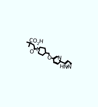 CC(C)(CC(=O)N1CCC(COc2ccc(-c3ccn[nH]3)nc2)CC1)C(=O)O